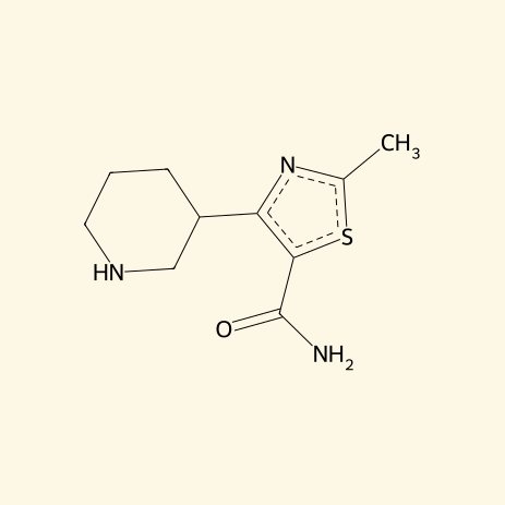 Cc1nc(C2CCCNC2)c(C(N)=O)s1